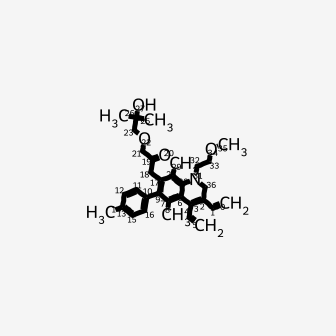 C=CC1=C(C=C)c2c(C)c(-c3ccc(C)cc3)c(CC(=O)COCC(C)(C)O)c(C)c2N(CCOC)C1